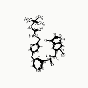 CC(C)(C)OC(=O)NCc1ccc(Cc2cncc(C(=O)NCc3cc4c(Cl)c[nH]c4cc3F)c2)cn1